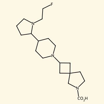 O=C(O)N1CCC2(CC(N3CCC(C4CCCN4CCF)CC3)C2)C1